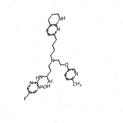 CC(=O)[C@H](CCN(CCCCc1ccc2c(n1)NCCC2)CCOc1ccc(C)nc1)Nc1ncc(F)c[n+]1O